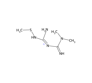 CSN/C(N)=N/C(=N)N(C)C